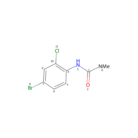 CNC(=O)Nc1ccc(Br)cc1Cl